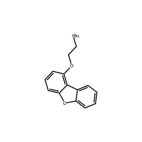 CC(C)(C)CCOc1cccc2oc3ccccc3c12